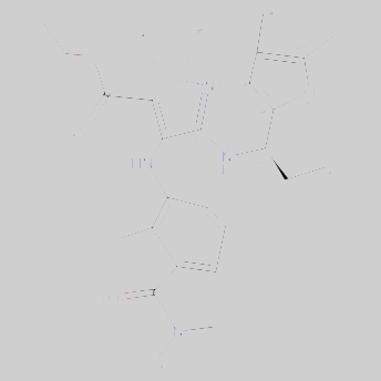 CCOC(=O)C1=C(Nc2cccc(C(=O)N(C)C)c2O)C(N[C@H](CC)c2cc(C)c(C)o2)=NS1(=O)=O